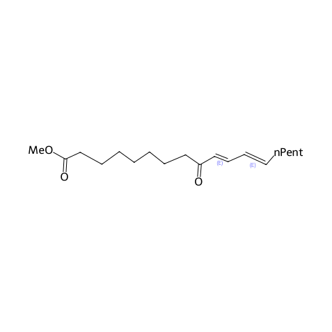 CCCCC/C=C/C=C/C(=O)CCCCCCCC(=O)OC